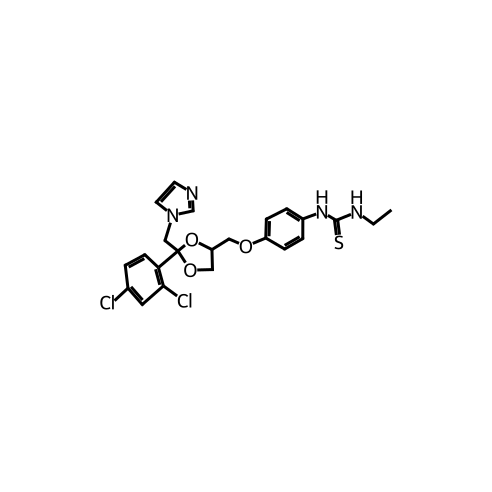 CCNC(=S)Nc1ccc(OCC2COC(Cn3ccnc3)(c3ccc(Cl)cc3Cl)O2)cc1